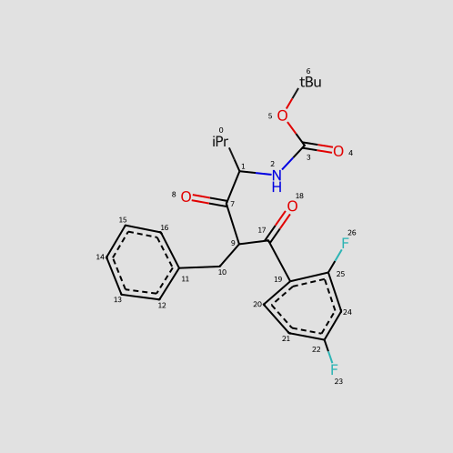 CC(C)C(NC(=O)OC(C)(C)C)C(=O)C(Cc1ccccc1)C(=O)c1ccc(F)cc1F